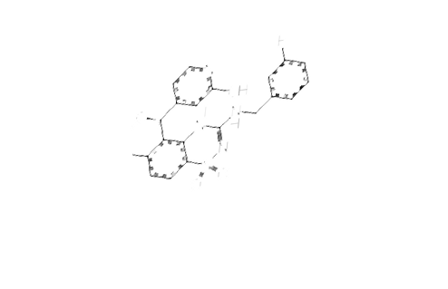 Cc1cc([C@H](C)c2c(F)ccc3c2NC(NCc2cccc(F)c2)=NS3(=O)=O)ccn1